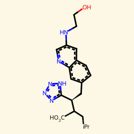 CC(C)CC(C(=O)O)[C@H](Cc1ccc2cc(NCCO)cnc2c1)c1nnn[nH]1